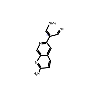 CN/C=C(\C=N)c1cc2ccc(N)nc2cn1